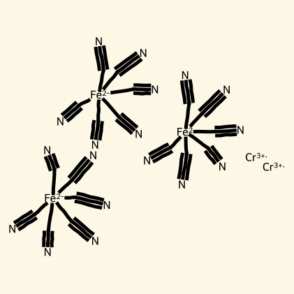 N#[C][Fe-2]([C]#N)([C]#N)([C]#N)([C]#N)[C]#N.N#[C][Fe-2]([C]#N)([C]#N)([C]#N)([C]#N)[C]#N.N#[C][Fe-2]([C]#N)([C]#N)([C]#N)([C]#N)[C]#N.[Cr+3].[Cr+3]